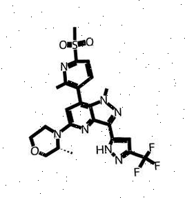 Cc1nc(S(C)(=O)=O)ccc1-c1cc(N2CCOC[C@H]2C)nc2c(-c3cc(C(F)(F)F)n[nH]3)nn(C)c12